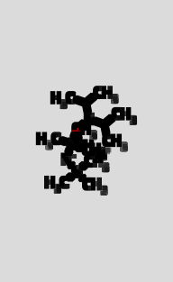 CCN(C(C)C)C(C)C.C[Si](C)(C)[N-][Si](C)(C)C.[Li+]